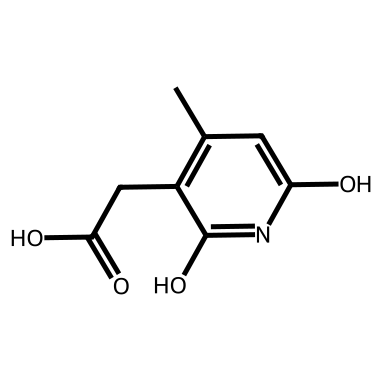 Cc1cc(O)nc(O)c1CC(=O)O